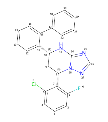 Fc1cccc(Cl)c1[C@@H]1C[C@H](c2ccccc2-c2ccccc2)Nc2ncnn21